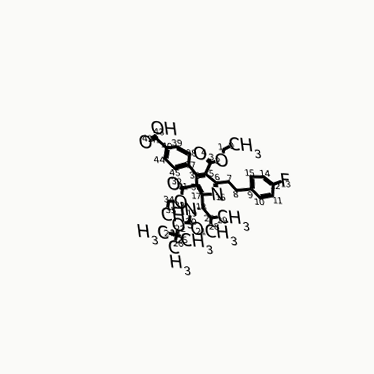 CCOC(=O)c1c(CCc2ccc(F)cc2)nc([C@@H](NC(=O)OC(C)(C)C)C(C)C)c(C(=O)OCC)c1-c1ccc(C(=O)O)cc1